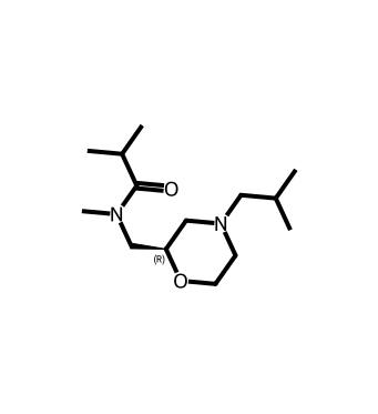 CC(C)CN1CCO[C@@H](CN(C)C(=O)C(C)C)C1